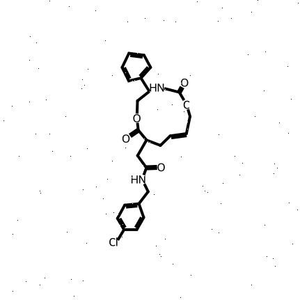 O=C(CC1C/C=C/CCC(=O)NC(c2ccccc2)COC1=O)NCc1ccc(Cl)cc1